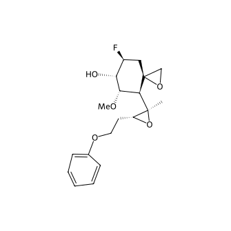 CO[C@@H]1[C@H](O)[C@@H](F)C[C@]2(CO2)[C@H]1[C@@]1(C)O[C@@H]1CCOc1ccccc1